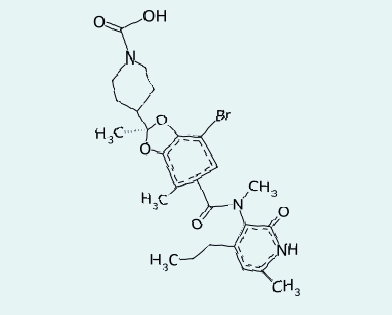 CCCc1cc(C)[nH]c(=O)c1N(C)C(=O)c1cc(Br)c2c(c1C)O[C@@](C)(C1CCN(C(=O)O)CC1)O2